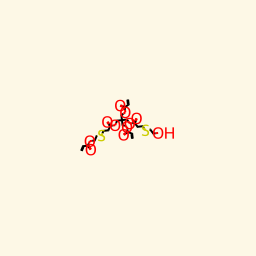 C=CC(=O)OCCSCCC(=O)OCC(COC(=O)C=C)(COC(=O)C=C)COC(=O)CCSCCO